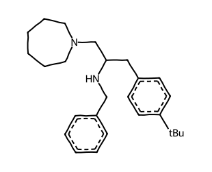 CC(C)(C)c1ccc(CC(CN2CCCCCC2)NCc2ccccc2)cc1